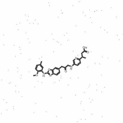 COc1ccc(C)cc1Nc1nc2ccc(CC(=O)CNc3ccc(C(C)CC(=O)O)nc3)cc2o1